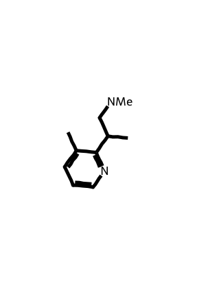 CNCC(C)c1ncccc1C